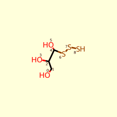 OCC(O)C(O)SSS